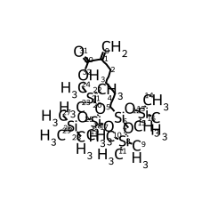 C=C(CCCC[Si](O[Si](C)(C)C)(O[Si](C)(C)C)O[Si](C)(O[Si](C)(C)C)O[Si](C)(C)C)C(=O)O